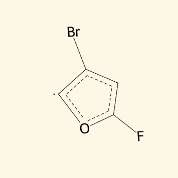 Fc1cc(Br)[c]o1